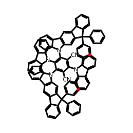 N#Cc1c(-n2c3ccccc3c3ccccc32)c(C#N)c(-n2c3ccccc3c3cc4c(cc32)C(c2ccccc2)(c2ccccc2)c2ccccc2-4)c(-n2c3ccccc3c3ccccc32)c1-n1c2ccccc2c2cc3c(cc21)C(c1ccccc1)(c1ccccc1)c1ccccc1-3